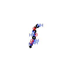 CC(C)(C)c1cc(NC(=O)Nc2ccc(NC(=O)c3ccc(OC(C)(C)C4CCNCC4)cn3)cc2)on1